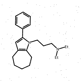 CCN(CC)CCCn1c(-c2ccccc2)cc2c1CCCCC2